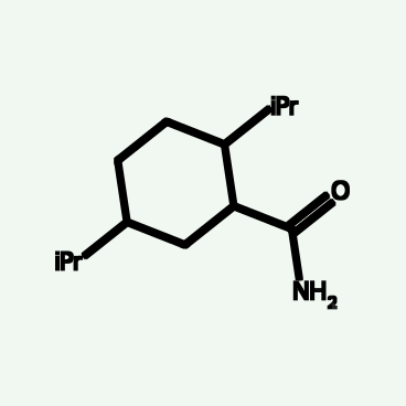 CC(C)C1CCC(C(C)C)C(C(N)=O)C1